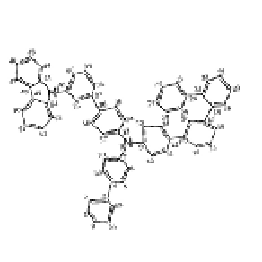 c1ccc(-c2ccc(N(c3ccc(-c4cccc(-c5ccccc5-c5ccccc5)c4)cc3)c3ccc(-c4cccc(-n5c6ccccc6c6ccccc65)c4)cc3)cc2)cc1